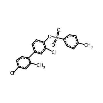 Cc1ccc(S(=O)(=O)Oc2ccc(-c3ccc(Cl)cc3C)cc2Cl)cc1